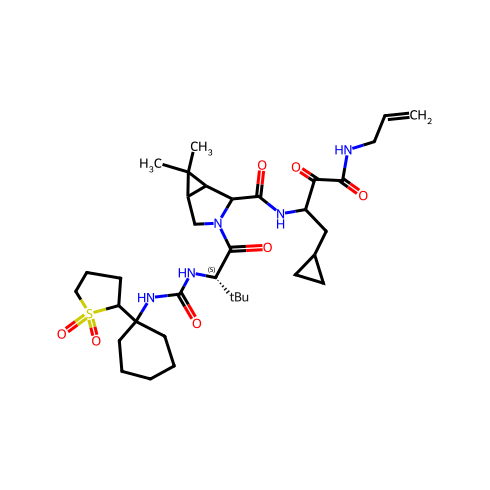 C=CCNC(=O)C(=O)C(CC1CC1)NC(=O)C1C2C(CN1C(=O)[C@@H](NC(=O)NC1(C3CCCS3(=O)=O)CCCCC1)C(C)(C)C)C2(C)C